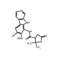 COc1c(Cl)cc2c([nH]c3cnccc32)c1NC(=O)C1CC(=O)OC1(C)C